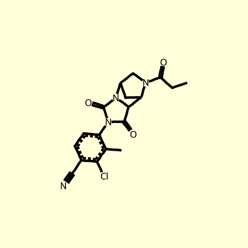 CCC(=O)N1CC2CC1C1C(=O)N(c3ccc(C#N)c(Cl)c3C)C(=O)N21